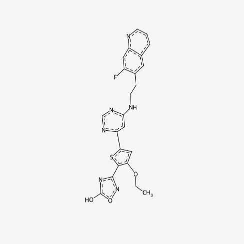 CCOc1cc(-c2cc(NCCc3cc4cccnc4cc3F)ncn2)sc1-c1noc(O)n1